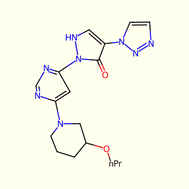 CCCOC1CCCN(c2cc(-n3[nH]cc(-n4ccnn4)c3=O)ncn2)C1